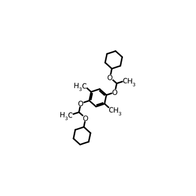 Cc1cc(OC(C)OC2CCCCC2)c(C)cc1OC(C)OC1CCCCC1